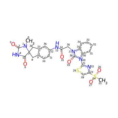 CN1C(=O)NC(=O)C12Cc1ccc(NC(=O)Cn3c(=O)n(-c4nc(S(C)(=O)=O)cs4)c4ccccc43)cc1C2